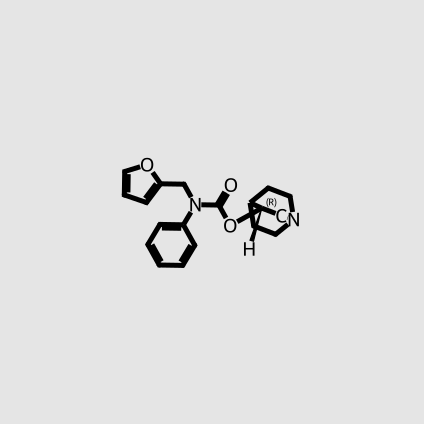 O=C(O[C@H]1CN2CCC1CC2)N(Cc1ccco1)c1ccccc1